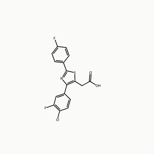 O=C(O)Cc1sc(-c2ccc(F)cc2)nc1-c1ccc(Cl)c(F)c1